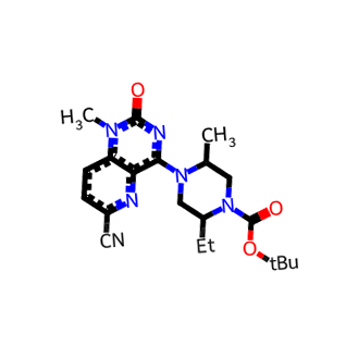 CCC1CN(c2nc(=O)n(C)c3ccc(C#N)nc23)C(C)CN1C(=O)OC(C)(C)C